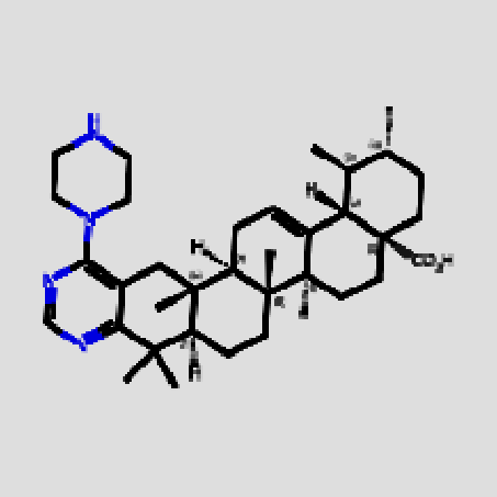 C[C@H]1[C@H](C)CC[C@]2(C(=O)O)CC[C@]3(C)C(=CC[C@@H]4[C@@]5(C)Cc6c(N7CCNCC7)ncnc6C(C)(C)[C@@H]5CC[C@]43C)[C@H]12